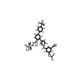 CNS(=O)(=O)CCNc1ccc(-c2ccc(C(F)(F)F)cc2)cc1-c1ccn(Cc2cc(C#N)cc(OC(C)C)c2)n1